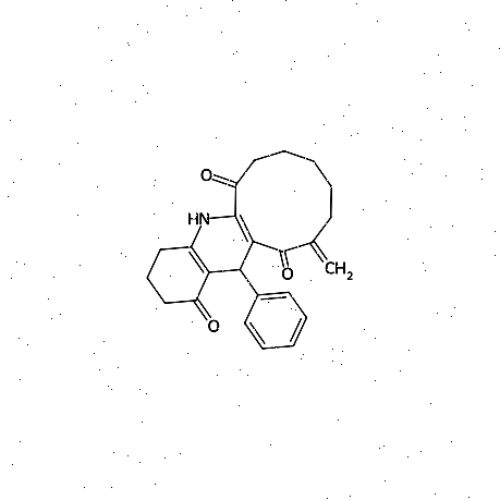 C=C1CCCCCC(=O)C2=C(C1=O)C(c1ccccc1)C1=C(CCCC1=O)N2